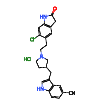 Cl.N#Cc1ccc2[nH]cc(CC3CCN(CCc4cc5c(cc4Cl)NC(=O)C5)C3)c2c1